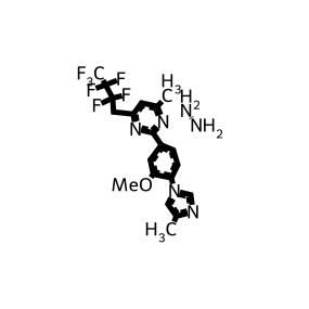 COc1cc(-c2nc(C)cc(CC(F)(F)C(F)(F)C(F)(F)F)n2)ccc1-n1cnc(C)c1.NN